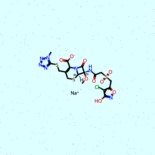 CO[C@@]1(NC(=O)CS(=O)(=O)Cc2onc(O)c2Cl)C(=O)N2C(C(=O)[O-])=C(CSc3nnnn3C)CS[C@@H]21.[Na+]